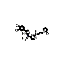 N/C(=C1\NC(c2ccc(Cl)c(Cl)c2)=CS1)c1ccnc(NCCCN2CCCC2=O)n1